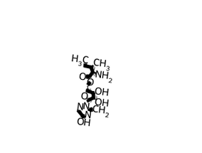 C=C1NC(=O)C=NN1[C@@H]1O[C@H](COC(=O)[C@H](N)[C@H](C)CC)C(O)[C@@H]1O